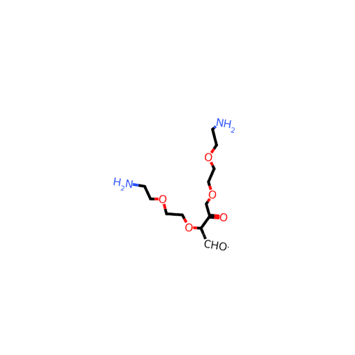 NCCOCCOCC(=O)C([C]=O)OCCOCCN